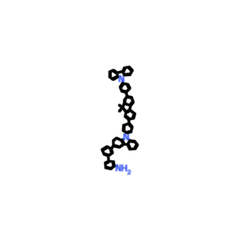 CC1(C)c2cc(-c3ccc(-n4c5c(c6ccccc64)C=C(c4cccc(-c6cccc(N)c6)c4)CC5)cc3)ccc2-c2ccc(-c3ccc(-n4c5ccccc5c5ccccc54)cc3)cc21